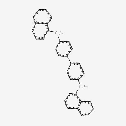 c1ccc2c(Nc3ccc(-c4ccc(Nc5cccc6ccccc56)cc4)cc3)cccc2c1